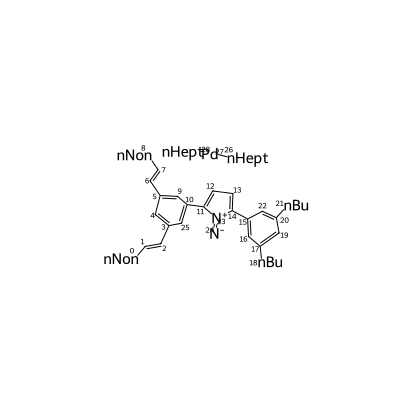 CCCCCCCCCC=Cc1cc(C=CCCCCCCCCC)cc(C2=CC=C(c3cc(CCCC)cc(CCCC)c3)[N+]2=[N-])c1.CCCCCC[CH2][Pd][CH2]CCCCCC